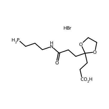 Br.O=C(O)CCC1(CCC(=O)NCCCP)OCCO1